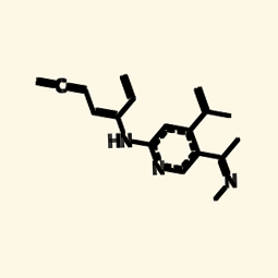 C=C=C/C=C(\C=C)Nc1cc(C(=C)C)c(/C(C)=N\C)cn1